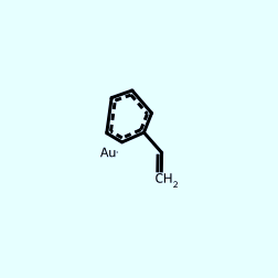 C=Cc1ccccc1.[Au]